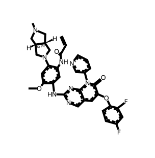 C=CC(=O)Nc1cc(Nc2ncc3cc(Oc4ccc(F)cc4F)c(=O)n(-c4cccnc4)c3n2)c(OC)cc1N1C[C@H]2CN(C)C[C@H]2C1